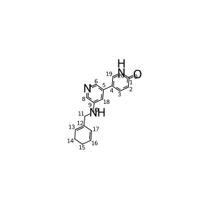 O=c1ccc(-c2cncc(NCC3=CCCC=C3)c2)c[nH]1